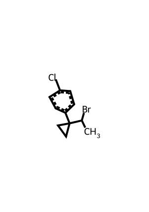 CC(Br)C1(c2ccc(Cl)cc2)CC1